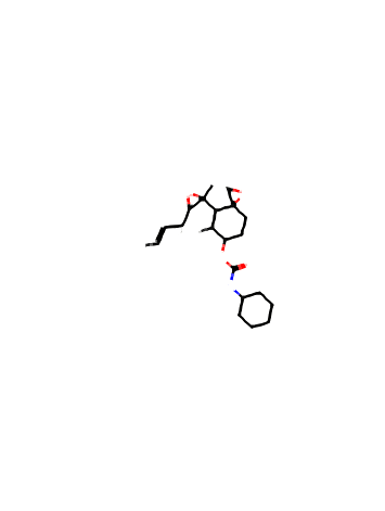 CCOC(=O)C=CCC1OC1(C)C1C(OC)C(OC(=O)NC2CCCCC2)CCC12CO2